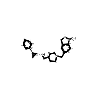 OB1OCc2cc(CN3CCC(CN[C@@H]4C[C@H]4c4ccccc4)CC3)ccc21